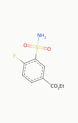 CCOC(=O)c1ccc(F)c(S(N)(=O)=O)c1